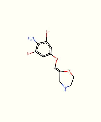 Nc1c(Br)cc(OC=C2CNCCO2)cc1Br